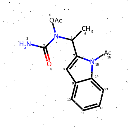 CC(=O)ON(C(N)=O)C(C)c1cc2ccccc2n1C(C)=O